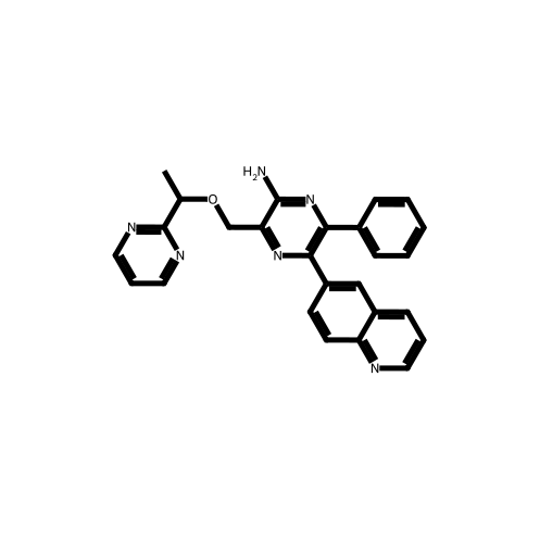 CC(OCc1nc(-c2ccc3ncccc3c2)c(-c2ccccc2)nc1N)c1ncccn1